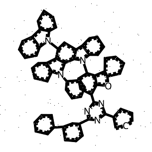 c1ccc(-c2cccc(-c3nc(-c4ccccc4)nc(-c4ccc(-n5c6ccccc6c6cc(-n7c8ccccc8c8ccccc87)c7c8ccccc8n(-c8ccccc8)c7c65)c5c4oc4ccccc45)n3)c2)cc1